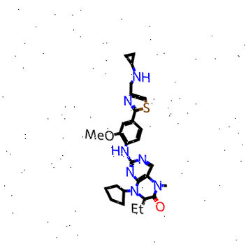 CCC1C(=O)N(C)c2cnc(Nc3ccc(-c4nc(CNC5CC5)cs4)cc3OC)nc2N1C1CCCC1